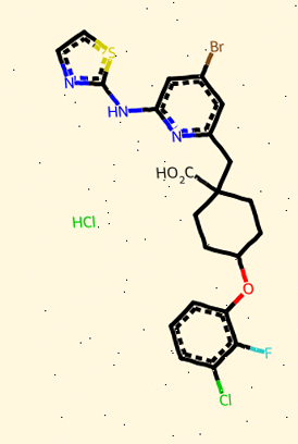 Cl.O=C(O)C1(Cc2cc(Br)cc(Nc3nccs3)n2)CCC(Oc2cccc(Cl)c2F)CC1